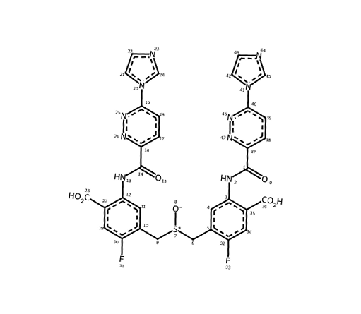 O=C(Nc1cc(C[S+]([O-])Cc2cc(NC(=O)c3ccc(-n4ccnc4)nn3)c(C(=O)O)cc2F)c(F)cc1C(=O)O)c1ccc(-n2ccnc2)nn1